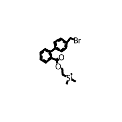 C[Si](C)(C)CCOC(=O)c1ccccc1-c1ccc(CBr)cc1